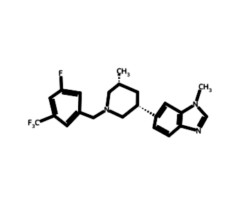 C[C@@H]1C[C@H](c2ccc3ncn(C)c3c2)CN(Cc2cc(F)cc(C(F)(F)F)c2)C1